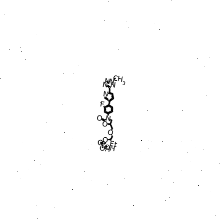 CCC(COCC1CN(c2ccc(-c3ccc(-c4nnn(C)n4)nc3)c(F)c2)C(=O)O1)OP(=O)(O)O